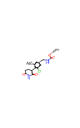 CC(C)(C)OC(=O)NCc1cc(Cl)c(C2CCC(=O)NC2=O)c(C#N)c1